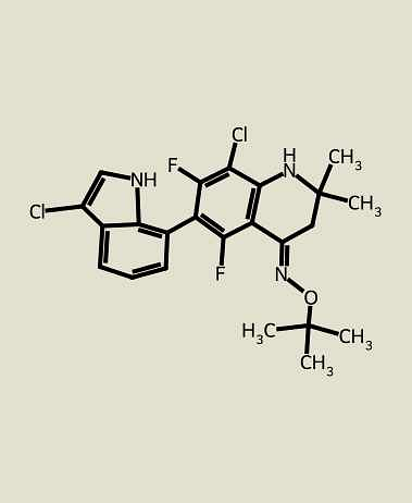 CC1(C)CC(=NOC(C)(C)C)c2c(F)c(-c3cccc4c(Cl)c[nH]c34)c(F)c(Cl)c2N1